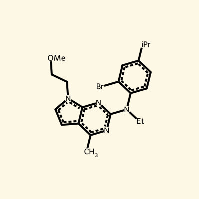 CCN(c1nc(C)c2ccn(CCOC)c2n1)c1ccc(C(C)C)cc1Br